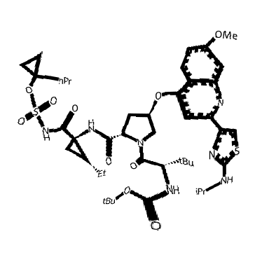 CCCC1(OS(=O)(=O)NC(=O)[C@@]2(NC(=O)[C@@H]3C[C@@H](Oc4cc(-c5csc(NC(C)C)n5)nc5cc(OC)ccc45)CN3C(=O)[C@@H](NC(=O)OC(C)(C)C)C(C)(C)C)C[C@H]2CC)CC1